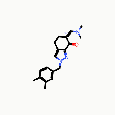 Cc1ccc(Cn2cc3c(n2)C(=O)/C(=C\N(C)C)CC3)cc1C